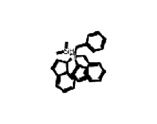 C[SiH](C)[Ti]([CH2]c1ccccc1)([CH2]c1ccccc1)([C]1=CC=CC1)[CH]1C=Cc2ccccc21